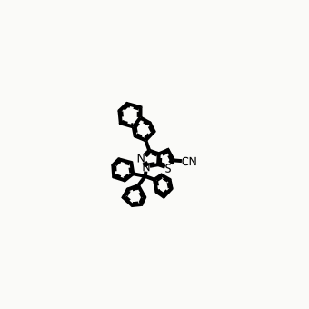 N#Cc1cc2c(-c3ccc4ccccc4c3)nn(C(c3ccccc3)(c3ccccc3)c3ccccc3)c2s1